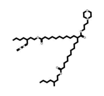 C=C=C=CC(CCCC)CCOC(=O)CCCCCCCCCC(CCCCCCCCCC(=O)OCCC(C)CCCC)C(=O)OCCCN1CCOCC1